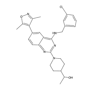 Cc1noc(C)c1-c1ccc2nc(N3CCC(C(C)O)CC3)nc(NCc3cccc(Cl)c3)c2c1